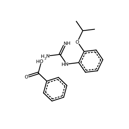 CC(C)Oc1ccccc1NC(=N)N.O=C(O)c1ccccc1